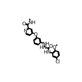 CNC(=O)c1cc(Oc2cccc(NNC(=O)Nc3cc(Cl)ccc3OC)c2)ccn1